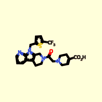 O=C(O)C1=CCN(CC(=O)N2CCc3c(n(Cc4ccc(C(F)(F)F)s4)c4ncccc34)C2)CC1